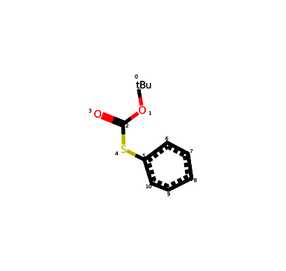 CC(C)(C)OC(=O)Sc1cc[c]cc1